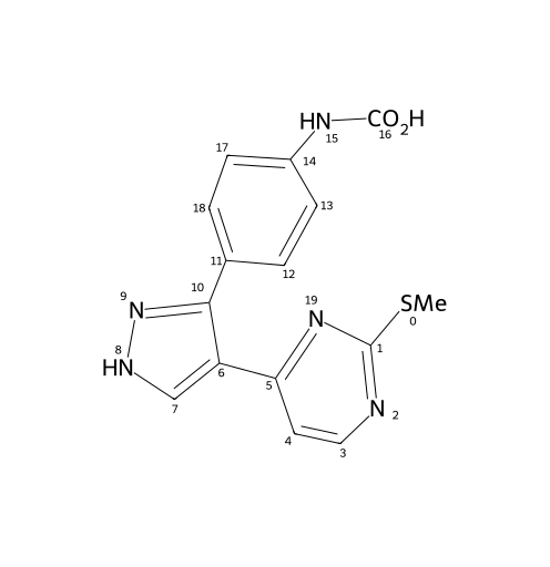 CSc1nccc(-c2c[nH]nc2-c2ccc(NC(=O)O)cc2)n1